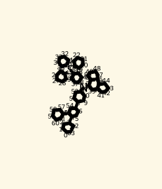 c1ccc(-c2ccc(-c3ccc(N(c4ccc(S(c5ccccc5)(c5ccccc5)c5ccccc5)cc4)c4cc5ccccc5c5ccccc45)cc3)cc2-c2ccccc2)cc1